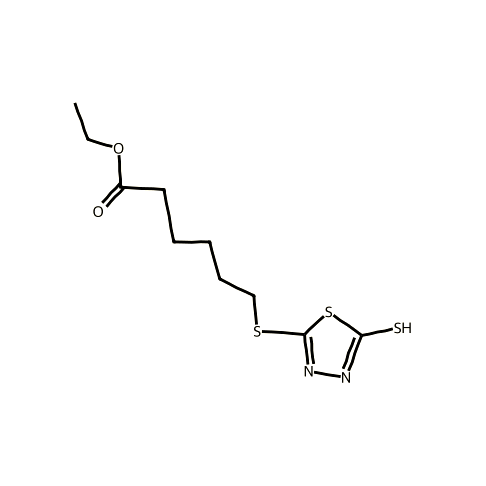 CCOC(=O)CCCCCSc1nnc(S)s1